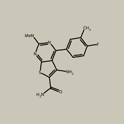 CNc1nc(-c2ccc(F)c(C)c2)c2c(N)c(C(N)=O)sc2n1